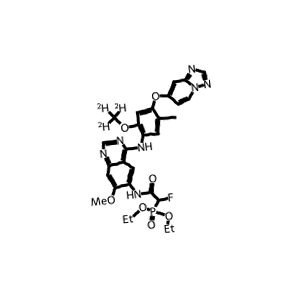 [2H]C([2H])([2H])Oc1cc(Oc2ccn3ncnc3c2)c(C)cc1Nc1ncnc2cc(OC)c(NC(=O)C(F)P(=O)(OCC)OCC)cc12